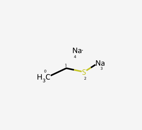 CC[S][Na].[Na]